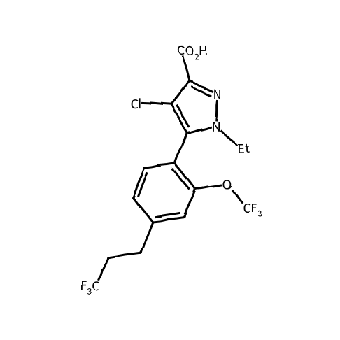 CCn1nc(C(=O)O)c(Cl)c1-c1ccc(CCC(F)(F)F)cc1OC(F)(F)F